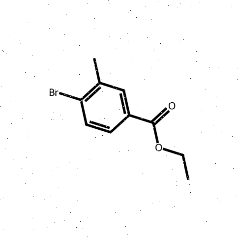 CCOC(=O)c1ccc(Br)c(C)c1